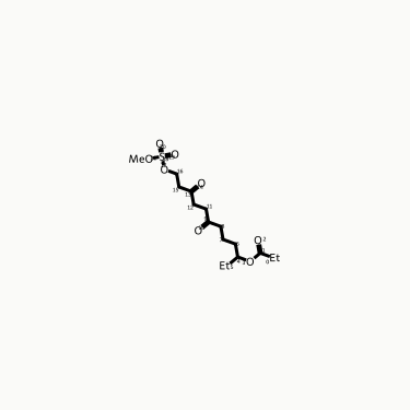 CCC(=O)OC(CC)CCCC(=O)CCC(=O)CCOS(=O)(=O)OC